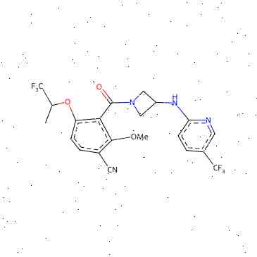 COc1c(C#N)ccc(OC(C)C(F)(F)F)c1C(=O)N1CC(Nc2ccc(C(F)(F)F)cn2)C1